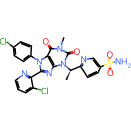 C[C@H](c1ccc(S(N)(=O)=O)cn1)n1c(=O)n(C)c(=O)c2c1nc(-c1ncccc1Cl)n2-c1ccc(Cl)cc1